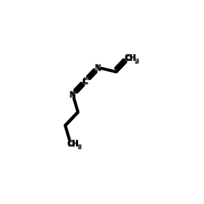 C=CN=C=NCCC